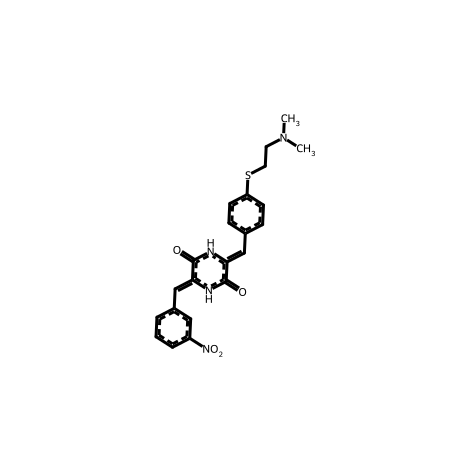 CN(C)CCSc1ccc(/C=c2\[nH]c(=O)/c(=C/c3cccc([N+](=O)[O-])c3)[nH]c2=O)cc1